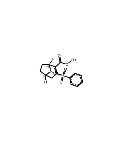 COC(=O)C1=C(S(=O)(=O)c2ccccc2)C[C@@H]2CC[C@H]1N2C